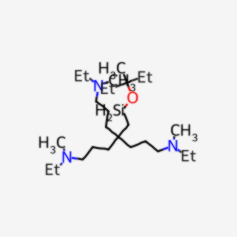 CCN(C)CCCC(CCCN(C)CC)(CCCN(C)CC)C[SiH2]OC(C)(CC)CC